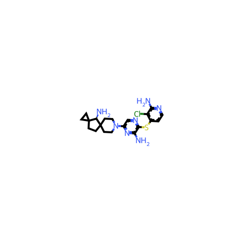 Nc1nc(N2CCC3(CC2)CCC2(CC2)[C@H]3N)cnc1Sc1ccnc(N)c1Cl